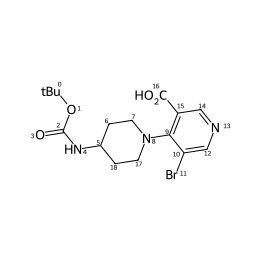 CC(C)(C)OC(=O)NC1CCN(c2c(Br)cncc2C(=O)O)CC1